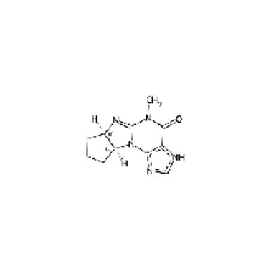 CN1C(=O)c2[nH]cnc2N2C1=N[C@@H]1CCC[C@@H]12